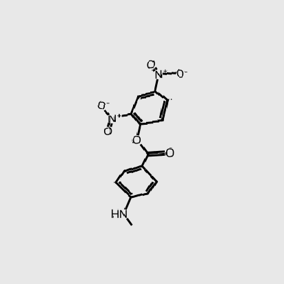 CNc1ccc(C(=O)Oc2c[c]c([N+](=O)[O-])cc2[N+](=O)[O-])cc1